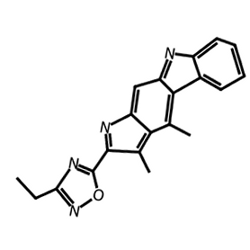 CCc1noc(C2=Nc3cc4c(c(C)c3=C2C)-c2ccccc2N=4)n1